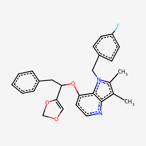 Cc1c(C)n(Cc2ccc(F)cc2)c2c(OC(Cc3ccccc3)C3=COCO3)ccnc12